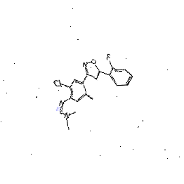 Cc1cc(/N=C\N(C)C)c(Cl)cc1C1=NOC(c2ccccc2F)C1